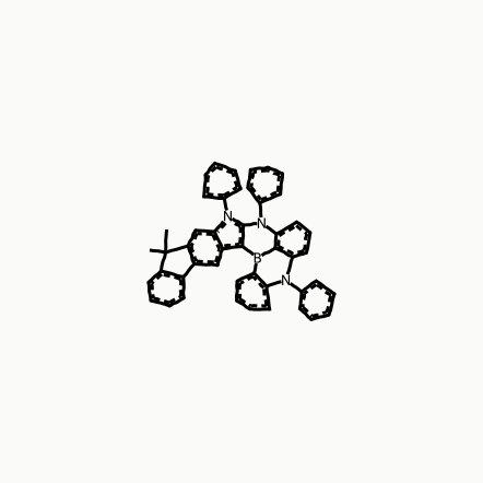 CC1(C)c2ccccc2-c2cc3c4c(n(-c5ccccc5)c3cc21)N(c1ccccc1)c1cccc2c1B4c1ccccc1N2c1ccccc1